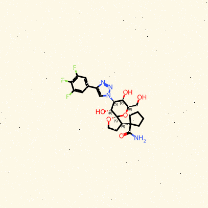 NC(=O)C1([C@H]2CCO[C@]23O[C@H](CO)[C@H](O)[C@H](n2cc(-c4cc(F)c(F)c(F)c4)nn2)[C@H]3O)CCCC1